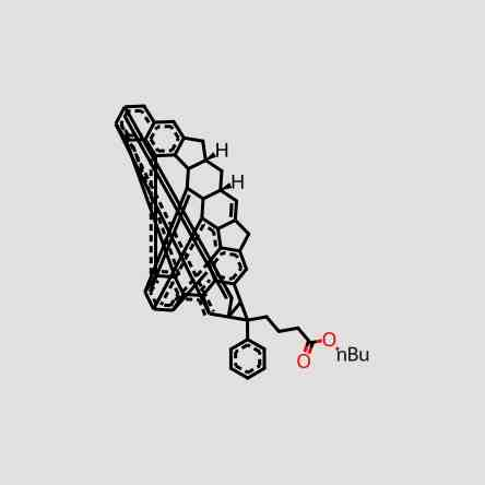 CCCCOC(=O)CCCC1(c2ccccc2)C2c3cc4c5c6c7c8c9c%10c%11c%12c(cc%13cc%14c%15c(c%16c3c5c8c%16c%10c%15c%13%11)C21C=%14)C[C@@H]1C[C@H](C=C6C4)C7C=9C%121